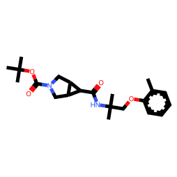 Cc1ccccc1OCC(C)(C)NC(=O)C1C2CN(C(=O)OC(C)(C)C)CC21